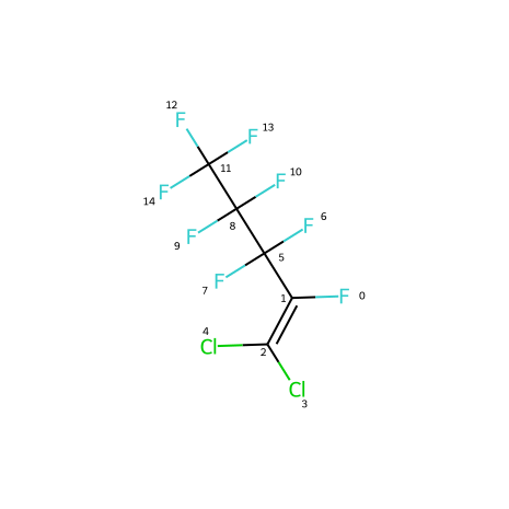 FC(=C(Cl)Cl)C(F)(F)C(F)(F)C(F)(F)F